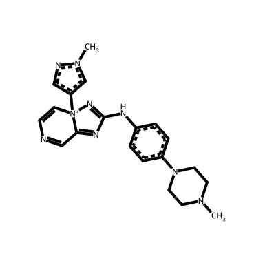 CN1CCN(c2ccc(NC3=N[N+]4(c5cnn(C)c5)C=CN=CC4=N3)cc2)CC1